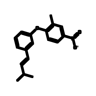 Cc1cc([N+](=O)[O-])ccc1Oc1cccc(/C=C/C(C)C)c1